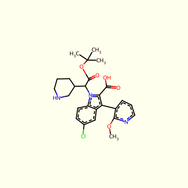 COc1ncccc1-c1c(C(=O)O)n(C(C(=O)OC(C)(C)C)C2CCCNC2)c2ccc(Cl)cc12